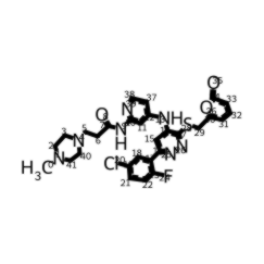 CN1CCN(CCC(=O)Nc2cc(Nc3cc(-c4cc(Cl)ccc4F)nnc3SCc3cccc(=O)o3)ccn2)CC1